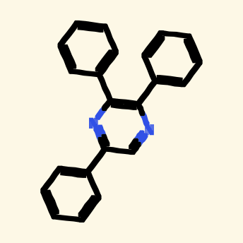 c1ccc(-c2cnc(-c3ccccc3)c(-c3ccccc3)n2)cc1